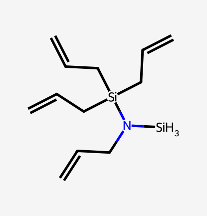 C=CCN([SiH3])[Si](CC=C)(CC=C)CC=C